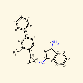 NC1CC(N[C@@H]2C[C@H]2c2ccc(-c3ccccc3)cc2C(F)(F)F)c2ccccc21